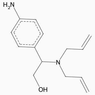 C=CCN(CC=C)C(CO)c1ccc(N)cc1